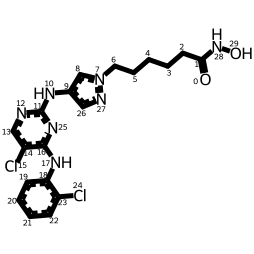 O=C(CCCCCn1cc(Nc2ncc(Cl)c(Nc3ccccc3Cl)n2)cn1)NO